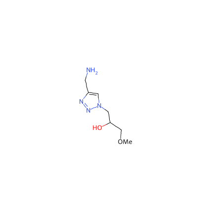 COCC(O)Cn1cc(CN)nn1